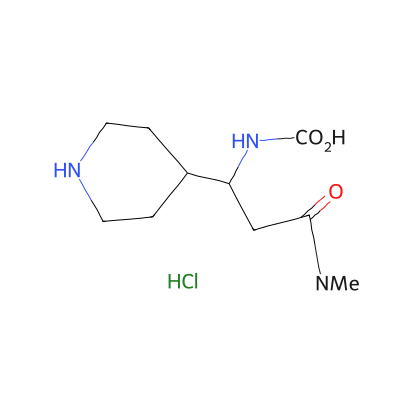 CNC(=O)CC(NC(=O)O)C1CCNCC1.Cl